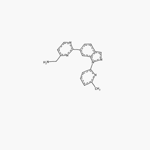 Cc1cccc(-n2ncc3ccc(-c4nccc(CN)n4)cc32)n1